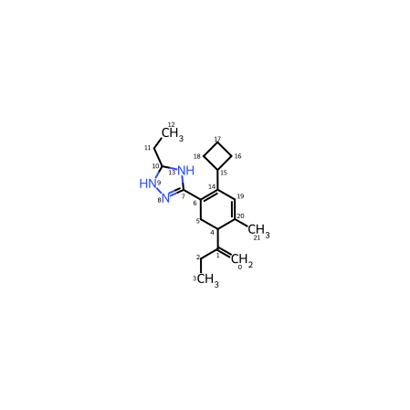 C=C(CC)C1CC(C2=NNC(CC)N2)=C(C2CCC2)C=C1C